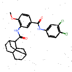 COc1ccc(C(=O)Nc2ccc(Cl)c(Cl)c2)cc1NC(=O)C1C2CCC3CCC(C2)CC31